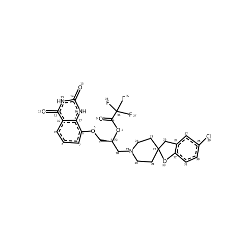 O=C(O[C@H](COc1cccc2c(=O)[nH]c(=O)[nH]c12)CN1CCC2(CC1)Cc1cc(Cl)ccc1O2)C(F)(F)F